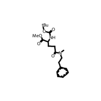 COC(=O)C(CCC(=O)N(C)CCc1ccccc1)NC(=O)OC(C)(C)C